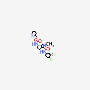 Cn1cc2c(c1C(=O)Nc1ccc(F)c(Cl)c1)CCC2NC(=O)OCc1ccccn1